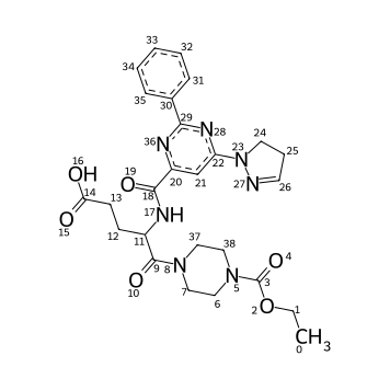 CCOC(=O)N1CCN(C(=O)C(CCC(=O)O)NC(=O)c2cc(N3CCC=N3)nc(-c3ccccc3)n2)CC1